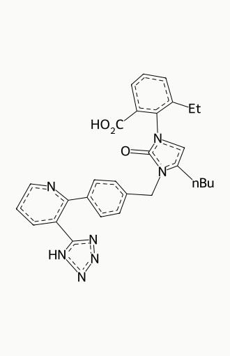 CCCCc1cn(-c2c(CC)cccc2C(=O)O)c(=O)n1Cc1ccc(-c2ncccc2-c2nnn[nH]2)cc1